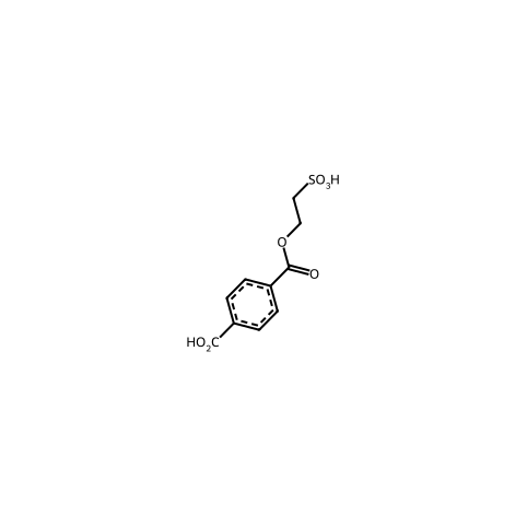 O=C(O)c1ccc(C(=O)OCCS(=O)(=O)O)cc1